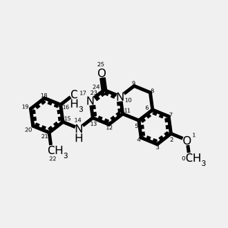 COc1ccc2c(c1)CCn1c-2cc(Nc2c(C)cccc2C)nc1=O